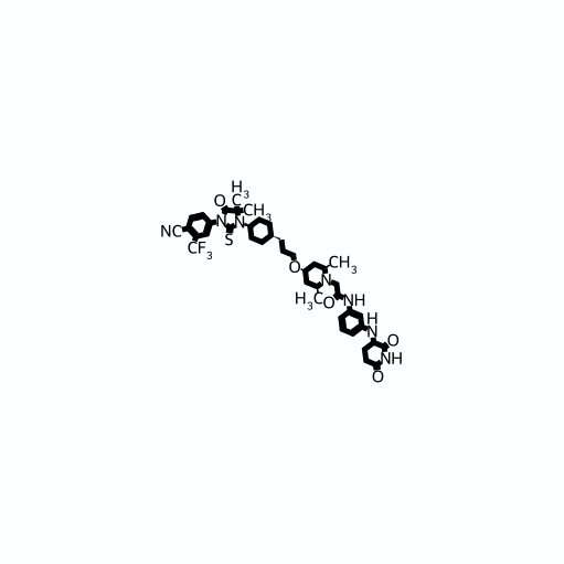 C[C@@H]1C[C@H](OCCC[C@H]2CC[C@H](N3C(=S)N(c4ccc(C#N)c(C(F)(F)F)c4)C(=O)C3(C)C)CC2)C[C@H](C)N1CC(=O)Nc1cccc(NC2CCC(=O)NC2=O)c1